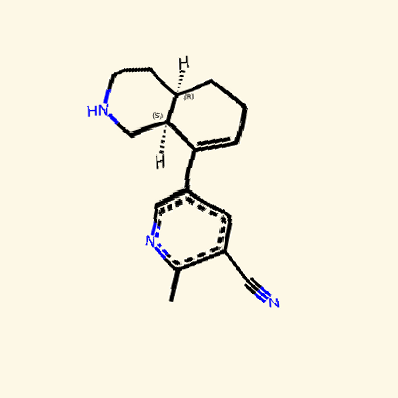 Cc1ncc(C2=CCC[C@@H]3CCNC[C@H]23)cc1C#N